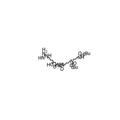 C[C@H](NC(=O)CC(O)CCCCNC(=N)N)C(=O)NCCCCN(CCCNC(=O)OC(C)(C)C)C(=O)OC(C)(C)C